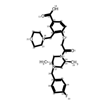 C[C@@H]1CN(C(=O)COc2ccc(C(=O)O)cc2CN2CCOCC2)[C@@H](C)CN1Cc1ccc(F)cc1